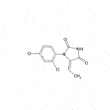 CC=C1C(=O)NC(=O)N1c1ccc(Cl)cc1Cl